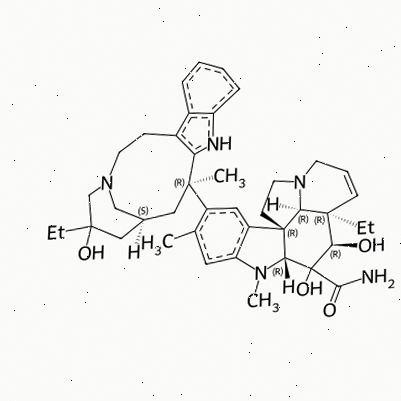 CCC1(O)C[C@H]2CN(CCc3c([nH]c4ccccc34)[C@@](C)(c3cc4c(cc3C)N(C)[C@H]3C(O)(C(N)=O)[C@H](O)[C@]5(CC)C=CCN6CC[C@]43[C@@H]65)C2)C1